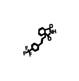 O=C1NC(=O)C2(C/C=C/c3ccc(C(F)(F)F)cc3)C=CC=CC12